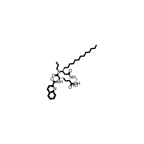 CCCCCCCCCCCCC[C@@H](CC(N)=O)N(CCC)C(=O)[C@H](CCCC(=O)O)NC(=O)c1ccc2ccccc2n1.Cl